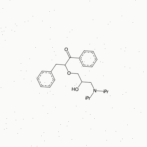 CC(C)N(CC(O)COC(Cc1ccccc1)C(=O)c1ccccc1)C(C)C